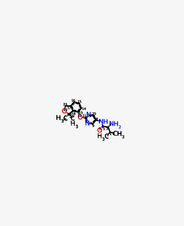 CC(C)C(N)C(=O)Nc1cnc(Oc2cccc3c2C(C)(C)OC3)nc1